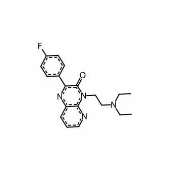 CCN(CC)CCn1c(=O)c(-c2ccc(F)cc2)nc2cccnc21